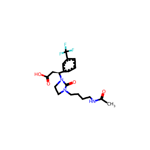 CC(=O)NCCCCN1CCN([C@@H](CC(=O)O)c2cccc(C(F)(F)F)c2)C1=O